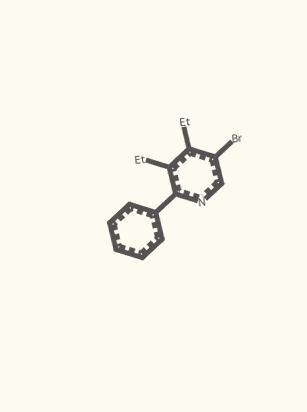 CCc1c(Br)[c]nc(-c2ccccc2)c1CC